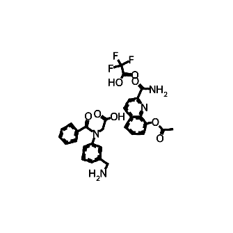 CC(=O)Oc1cccc2ccc(C(N)=O)nc12.NCc1cccc(N(CC(=O)O)C(=O)c2ccccc2)c1.O=C(O)C(F)(F)F